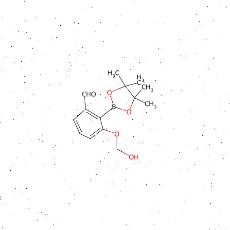 CC1(C)OB(c2c(C=O)cccc2OCO)OC1(C)C